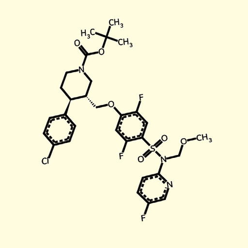 COCN(c1ccc(F)cn1)S(=O)(=O)c1cc(F)c(OC[C@H]2CN(C(=O)OC(C)(C)C)CC[C@@H]2c2ccc(Cl)cc2)cc1F